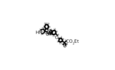 CCOC(=O)CC1(c2ccc(OCc3ccc(C[N+]4(S(C)(=O)=O)CC5(CCNCC5)c5ccccc54)cc3)cc2)COC1